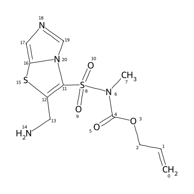 C=CCOC(=O)N(C)S(=O)(=O)c1c(CN)sc2cncn12